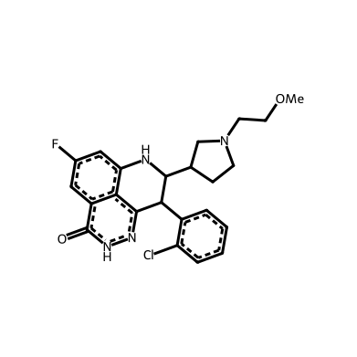 COCCN1CCC(C2Nc3cc(F)cc4c(=O)[nH]nc(c34)C2c2ccccc2Cl)C1